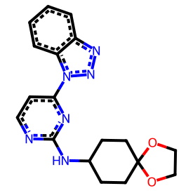 c1ccc2c(c1)nnn2-c1ccnc(NC2CCC3(CC2)OCCO3)n1